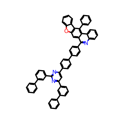 c1ccc(-c2cccc(-c3cc(-c4ccc(-c5ccc(-c6nc7ccccc7c7c(-c8ccccc8)c8c(cc67)oc6ccccc68)cc5)cc4)nc(-c4cccc(-c5ccccc5)c4)n3)c2)cc1